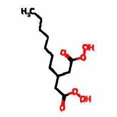 CCCCCCCC(CC(=O)OO)CC(=O)OO